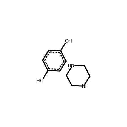 C1CNCCN1.Oc1ccc(O)cc1